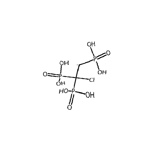 O=P(O)(O)[CH]C(Cl)(P(=O)(O)O)P(=O)(O)O